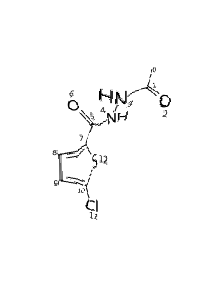 CC(=O)NNC(=O)c1ccc(Cl)s1